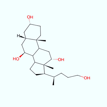 C[C@H](CCCO)[C@H]1CCC2C3C(C[C@H](O)[C@@]21C)[C@@]1(C)CC[C@@H](O)C[C@H]1C[C@@H]3O